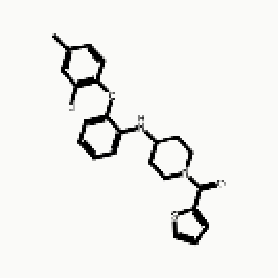 Cc1ccc(Oc2ccccc2NC2CCN(C(=O)c3cccs3)CC2)c(Cl)c1